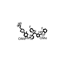 COc1cc(N2CCC(CCS(C)(=O)=O)CC2)c(C)cc1Nc1nccc(-c2c(-c3ccc(OC)c(C(=O)Nc4c(F)cccc4F)c3)nc3cc(F)ccn23)n1